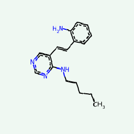 CCCCCNc1ncncc1C=Cc1ccccc1N